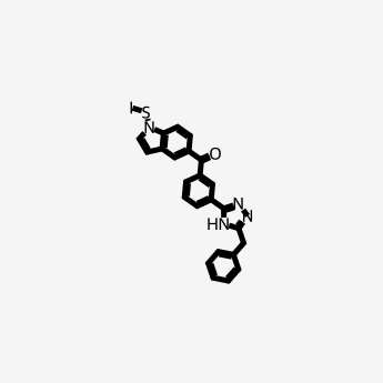 O=C(c1cccc(-c2nnc(Cc3ccccc3)[nH]2)c1)c1ccc2c(ccn2SI)c1